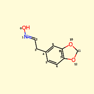 ON=CCc1ccc2c(c1)OCO2